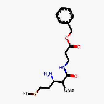 CCSCC[C@@H](N)C(OC)C(=O)NCCC(=O)OCc1ccccc1